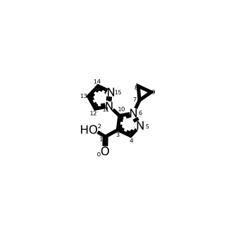 O=C(O)c1cnn(C2CC2)c1-n1cccn1